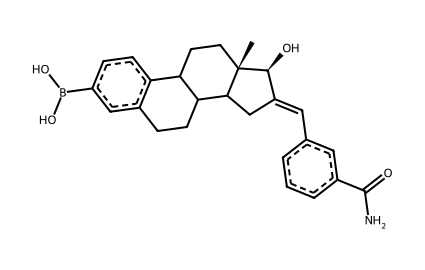 C[C@]12CCC3c4ccc(B(O)O)cc4CCC3C1C/C(=C\c1cccc(C(N)=O)c1)[C@@H]2O